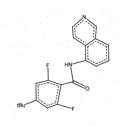 CC(C)(C)c1cc(F)c(C(=O)Nc2cccc3cnccc23)c(F)c1